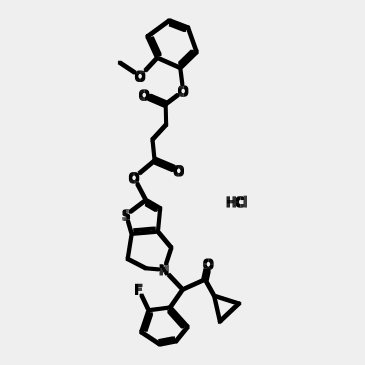 COc1ccccc1OC(=O)CCC(=O)Oc1cc2c(s1)CCN(C(C(=O)C1CC1)c1ccccc1F)C2.Cl